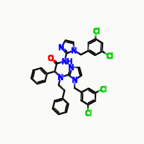 O=C(Nc1nccn1Cc1cc(Cl)cc(Cl)c1)C(c1ccccc1)N(CCc1ccccc1)c1nccn1Cc1cc(Cl)cc(Cl)c1